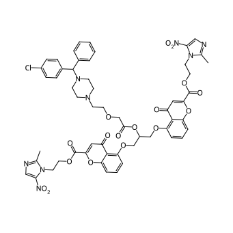 Cc1ncc([N+](=O)[O-])n1CCOC(=O)c1cc(=O)c2c(OCC(COc3cccc4oc(C(=O)OCCn5c([N+](=O)[O-])cnc5C)cc(=O)c34)OC(=O)COCCN3CCN(C(c4ccccc4)c4ccc(Cl)cc4)CC3)cccc2o1